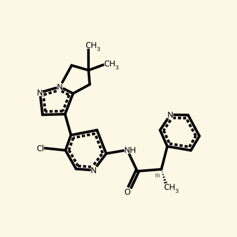 C[C@H](C(=O)Nc1cc(-c2cnn3c2CC(C)(C)C3)c(Cl)cn1)c1cccnc1